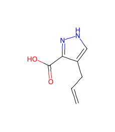 C=CCc1c[nH]nc1C(=O)O